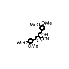 COc1ccc(C=CC(C=Cc2ccc(OC)c(OC)c2)=C(C#N)C(O)C#N)cc1OC